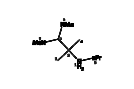 CCC[SiH2]C(C)(C)C(NC)NC